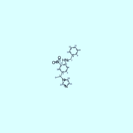 CC(c1ccc(NCc2ccccc2)c([N+](=O)[O-])c1)n1ccnc1